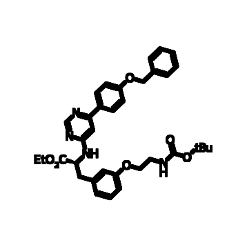 CCOC(=O)[C@H](Cc1cccc(OCCNC(=O)OC(C)(C)C)c1)Nc1cc(-c2ccc(OCc3ccccc3)cc2)ncn1